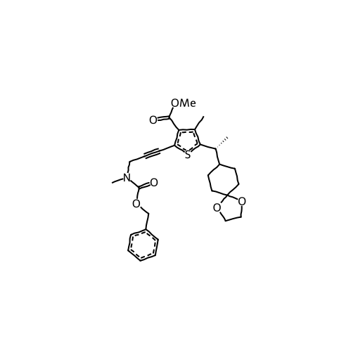 COC(=O)c1c(C#CCN(C)C(=O)OCc2ccccc2)sc([C@H](C)C2CCC3(CC2)OCCO3)c1C